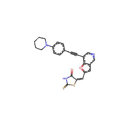 O=C1NC(=S)SC1=Cc1cc2cncc(C#Cc3ccc(N4CCCCC4)cc3)c2o1